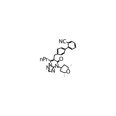 CCCc1c(Cc2ccc(-c3ccccc3C#N)cc2)c(=O)n(C2C[C@@H](C)O[C@@H](C)C2)c2ncnn12